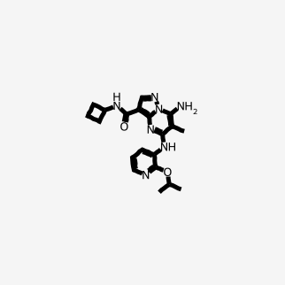 Cc1c(Nc2cccnc2OC(C)C)nc2c(C(=O)NC3CCC3)cnn2c1N